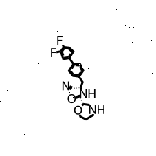 N#C[C@H](Cc1ccc(-c2ccc(F)c(F)c2)cc1)NC(=O)[C@@H]1CNCCCO1